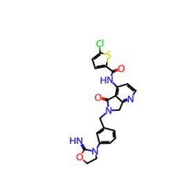 N=C1OCCN1c1cccc(CN2Cc3nccc(NC(=O)c4ccc(Cl)s4)c3C2=O)c1